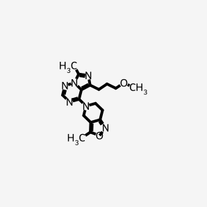 COCCCc1nc(C)n2ncnc(N3CCc4noc(C)c4C3)c12